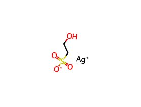 O=S(=O)([O-])CCO.[Ag+]